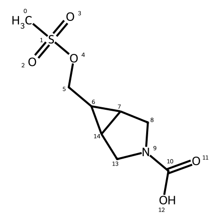 CS(=O)(=O)OCC1C2CN(C(=O)O)CC12